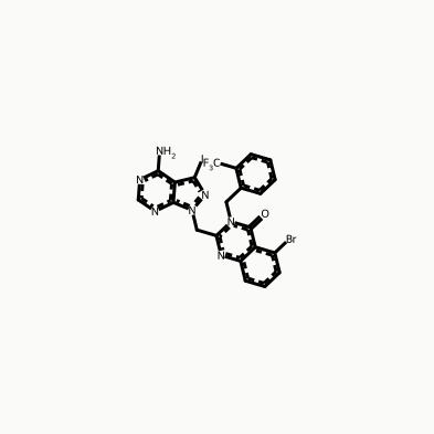 Nc1ncnc2c1c(I)nn2Cc1nc2cccc(Br)c2c(=O)n1Cc1ccccc1C(F)(F)F